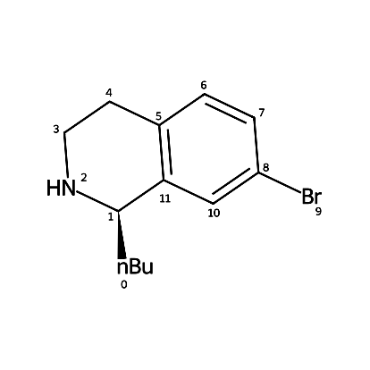 CCCC[C@H]1NCCc2ccc(Br)cc21